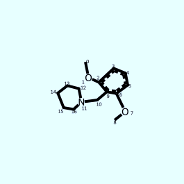 COc1cccc(OC)c1CN1CCCCC1